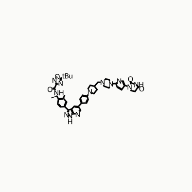 Cc1cc(-c2n[nH]c3ncc(-c4ccc(N5CCC(CN6CCN(c7ccc(N8CCC(=O)NC8=O)cn7)CC6)CC5)cc4)cc23)ccc1[C@@H](C)NC(=O)c1noc(C(C)(C)C)n1